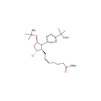 COC(=O)CCC/C=C\C[C@@H]1C(c2ccc(C(C)(C)C=O)cc2)[C@H](O[Si](C)(C)C(C)(C)C)C[C@H]1Cl